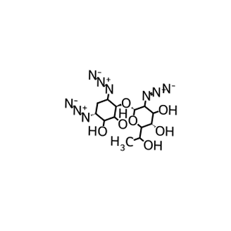 CC(O)C1O[C@H](O[C@@H]2C(N=[N+]=[N-])C[C@@H](N=[N+]=[N-])C(O)C2O)C(N=[N+]=[N-])C(O)[C@@H]1O